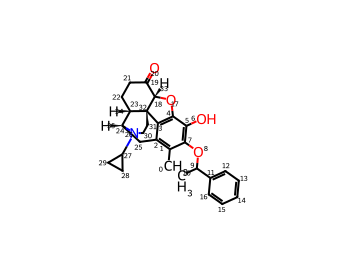 Cc1c2c3c(c(O)c1OC(C)c1ccccc1)O[C@H]1C(=O)CC[C@H]4[C@@H](C2)N(C2CC2)CC[C@]314